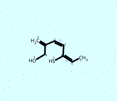 C=C(/C=C\C(S)=C/C)CO